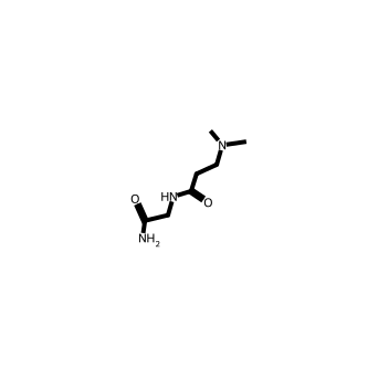 CN(C)CCC(=O)NCC(N)=O